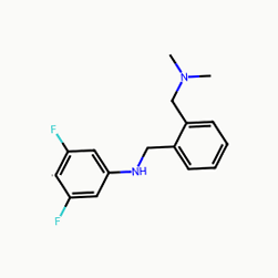 CN(C)Cc1ccccc1CNc1cc(F)[c]c(F)c1